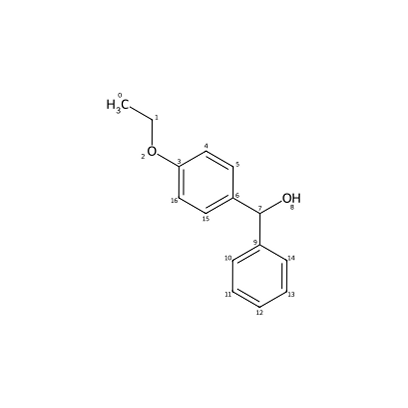 CCOc1ccc(C(O)c2ccccc2)cc1